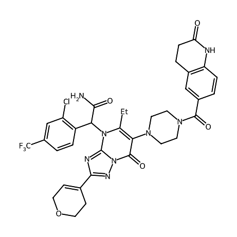 CCc1c(N2CCN(C(=O)c3ccc4c(c3)CCC(=O)N4)CC2)c(=O)n2nc(C3=CCOCC3)nc2n1C(C(N)=O)c1ccc(C(F)(F)F)cc1Cl